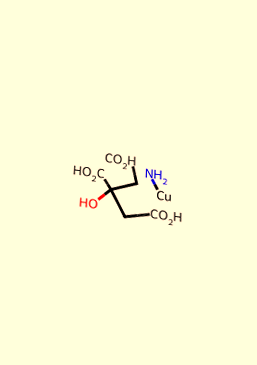 O=C(O)CC(O)(CC(=O)O)C(=O)O.[NH2][Cu]